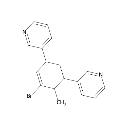 CC1C(Br)=CC(c2cccnc2)CC1c1cccnc1